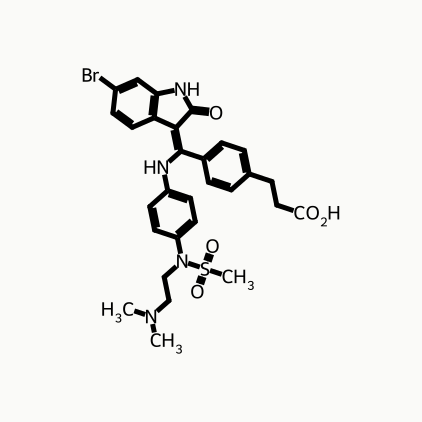 CN(C)CCN(c1ccc(NC(=C2C(=O)Nc3cc(Br)ccc32)c2ccc(CCC(=O)O)cc2)cc1)S(C)(=O)=O